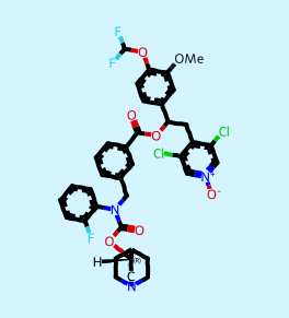 COc1cc(C(Cc2c(Cl)c[n+]([O-])cc2Cl)OC(=O)c2cccc(CN(C(=O)O[C@H]3CN4CCC3CC4)c3ccccc3F)c2)ccc1OC(F)F